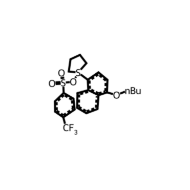 CCCCOc1ccc(S2(OS(=O)(=O)c3ccc(C(F)(F)F)cc3)CCCC2)c2ccccc12